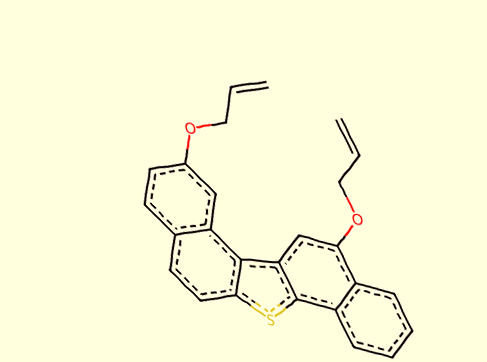 C=CCOc1ccc2ccc3sc4c5ccccc5c(OCC=C)cc4c3c2c1